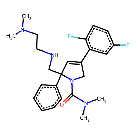 CN(C)CCNCC1(c2ccccc2)C=C(c2cc(F)ccc2F)CN1C(=O)N(C)C